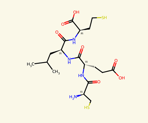 CC(C)C[C@H](NC(=O)[C@H](CCC(=O)O)NC(=O)[C@H](N)CS)C(=O)N[C@H](CCS)C(=O)O